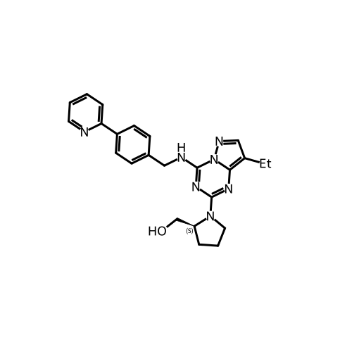 CCc1cnn2c(NCc3ccc(-c4ccccn4)cc3)nc(N3CCC[C@H]3CO)nc12